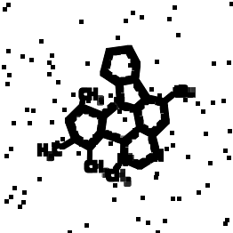 Cc1cc(C)c2c(c1C)c1c3c(cc(C(C)(C)C)c4c5ccccc5n2c43)nc[n+]1C